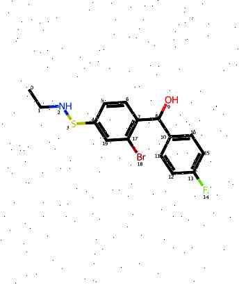 CCNSc1ccc(C(O)c2ccc(F)cc2)c(Br)c1